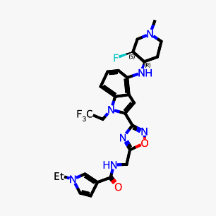 CCn1ccc(C(=O)NCc2nc(-c3cc4c(N[C@@H]5CCN(C)C[C@@H]5F)cccc4n3CC(F)(F)F)no2)c1